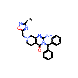 CC(C)c1noc(CN2CCc3c(nc(N)n(C(c4ccccc4)c4ccccc4)c3=O)C2)n1